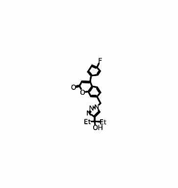 CCC(O)(CC)c1cn(Cc2ccc3c(-c4ccc(F)cc4)cc(=O)oc3c2)nn1